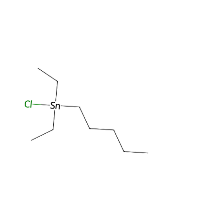 CCCC[CH2][Sn]([Cl])([CH2]C)[CH2]C